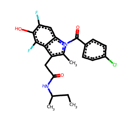 CCC(C)NC(=O)Cc1c(C)n(C(=O)c2ccc(Cl)cc2)c2cc(F)c(O)c(F)c12